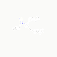 CCCCN[C@@H](CC(=O)O)C(=O)O